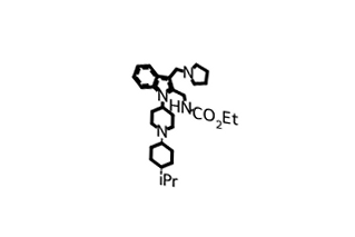 CCOC(=O)NCc1c(CN2CCCC2)c2ccccc2n1C1CCN([C@H]2CC[C@@H](C(C)C)CC2)CC1